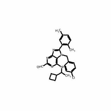 Cc1ccc(C)c(-c2nc3nc(C=O)nc(NC(C)C4CCC4)c3n2Cc2ccc(Cl)cc2)c1